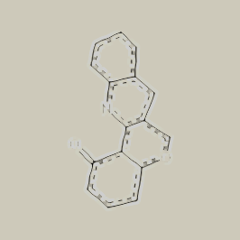 O=c1cccc2occ3cc4ccccc4nc3c1-2